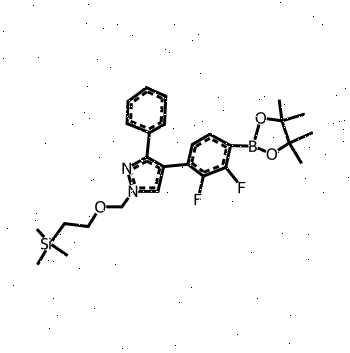 CC1(C)OB(c2ccc(-c3cn(COCC[Si](C)(C)C)nc3-c3ccccc3)c(F)c2F)OC1(C)C